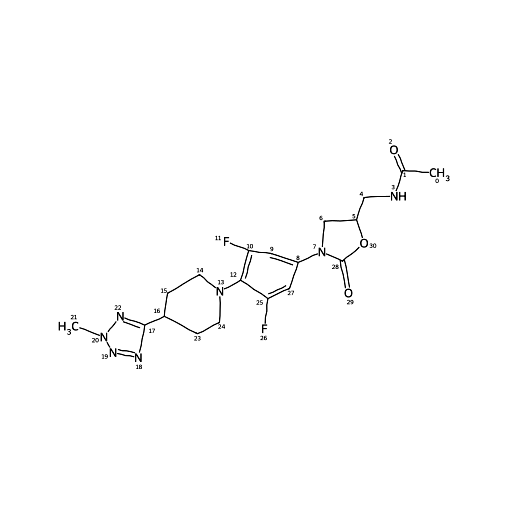 CC(=O)NCC1CN(c2cc(F)c(N3CCC(c4nnn(C)n4)CC3)c(F)c2)C(=O)O1